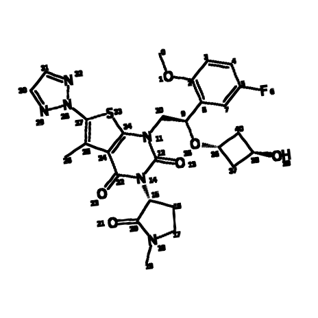 COc1ccc(F)cc1[C@H](Cn1c(=O)n([C@@H]2CCN(C)C2=O)c(=O)c2c(C)c(-n3nccn3)sc21)O[C@H]1C[C@H](O)C1